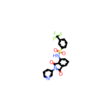 O=C1c2cccc(NS(=O)(=O)c3cccc(C(F)(F)F)c3)c2C(=O)N1c1cccnc1